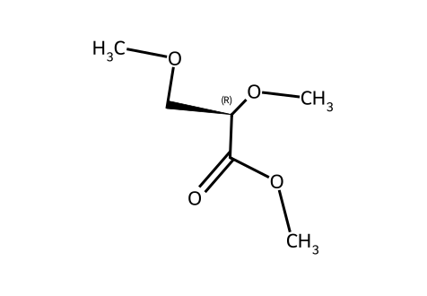 COC[C@@H](OC)C(=O)OC